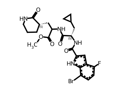 COC(=O)C(C[C@@H]1CCCNC1=O)NC(=O)[C@H](CC1CC1)NC(=O)c1cc2c(F)ccc(Br)c2[nH]1